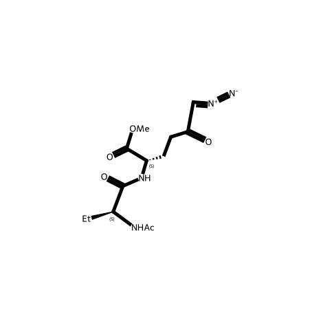 CC[C@H](NC(C)=O)C(=O)N[C@@H](CCC(=O)C=[N+]=[N-])C(=O)OC